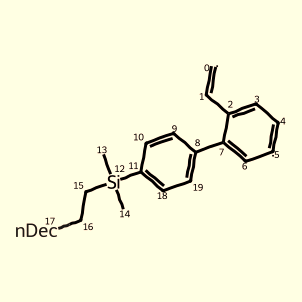 [CH]=Cc1cc[c]cc1-c1ccc([Si](C)(C)CCCCCCCCCCCC)cc1